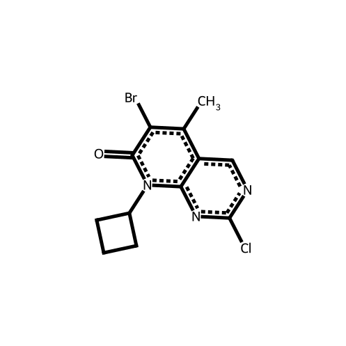 Cc1c(Br)c(=O)n(C2CCC2)c2nc(Cl)ncc12